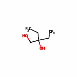 OCC(O)(CC(F)(F)F)CC(F)(F)F